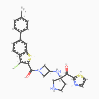 O=C(c1sc2cc(-c3ccc(C(F)(F)F)cc3)ccc2c1F)N1CC(N[C@@]2(C(=O)c3nccs3)CCNC2)C1